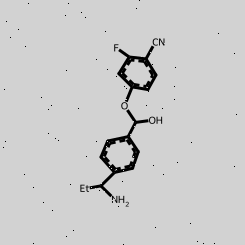 CCC(N)c1ccc(C(O)Oc2ccc(C#N)c(F)c2)cc1